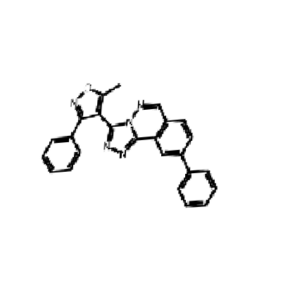 Cc1onc(-c2ccccc2)c1-c1nnc2c3cc(-c4ccccc4)ccc3cnn12